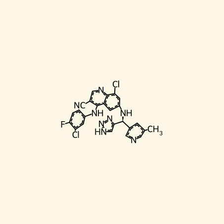 Cc1cncc([C@H](Nc2cc(Cl)c3ncc(C#N)c(Nc4ccc(F)c(Cl)c4)c3c2)c2c[nH]nn2)c1